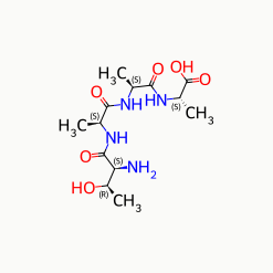 C[C@H](NC(=O)[C@H](C)NC(=O)[C@H](C)NC(=O)[C@@H](N)[C@@H](C)O)C(=O)O